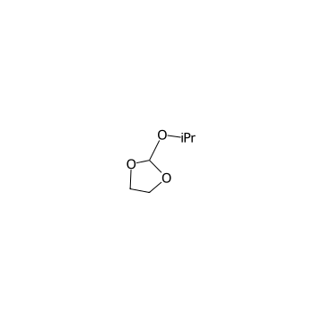 CC(C)OC1OCCO1